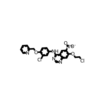 O=[N+]([O-])c1cc2c(Nc3ccc(OCc4ccccn4)c(Cl)c3)ncnc2cc1OCCCl